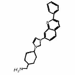 NCC1CCC(N2C=CN(c3ccc4ccc(-c5ccccc5)nc4c3)C2)CC1